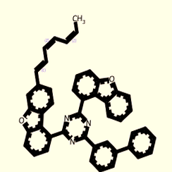 C\C=C/C=C\C=C\c1ccc2c(c1)oc1cccc(-c3nc(-c4cccc(-c5ccccc5)c4)nc(-c4cccc5oc6ccccc6c45)n3)c12